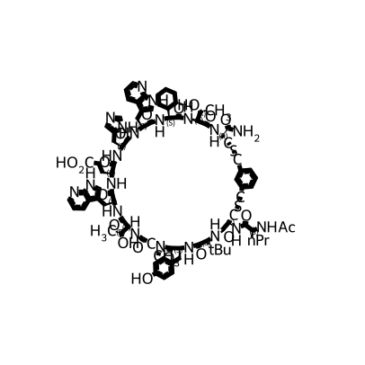 CCC[C@H](NC(C)=O)C(=O)N[C@H]1CSCc2cccc(c2)CSC[C@@H](C(N)=O)NC(=O)[C@H]([C@@H](C)O)NC(=O)[C@H](C2CCCCC2)NC(=O)[C@H](Cc2c[nH]c3ncccc23)NC(=O)[C@H](Cc2cnc[nH]2)NC(=O)[C@H](CCC(=O)O)NC(=O)[C@H](Cc2c[nH]c3ncccc23)NC(=O)[C@H]([C@@H](C)O)NC(=O)CN(C)C(=O)[C@H](Cc2ccc(O)cc2)NC(=O)[C@H](C(C)(C)C)NC1=O